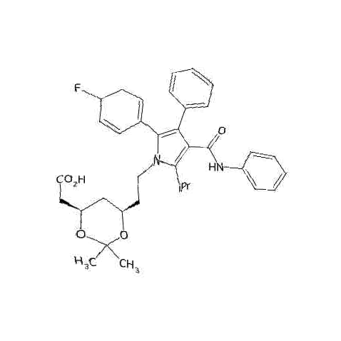 CC(C)c1c(C(=O)Nc2ccccc2)c(-c2ccccc2)c(C2=CCC(F)C=C2)n1CC[C@@H]1C[C@H](CC(=O)O)OC(C)(C)O1